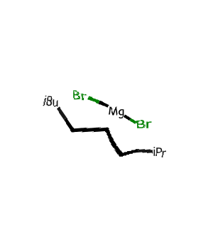 [Br][Mg][Br].[CH2]C(C)CCCC(C)CC